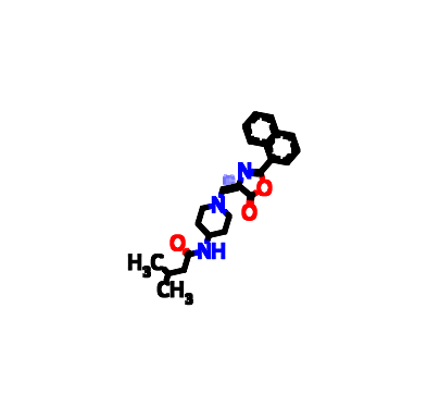 CC(C)CC(=O)NC1CCN(/C=C2/N=C(c3cccc4ccccc34)OC2=O)CC1